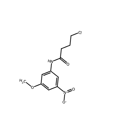 COc1cc(NC(=O)CCCCl)cc([N+](=O)[O-])c1